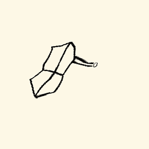 O=C1C2CC3CC2CC13